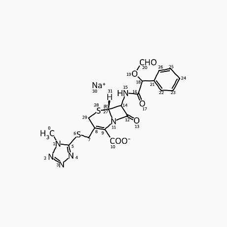 Cn1nnnc1SCC1=C(C(=O)[O-])N2C(=O)C(NC(=O)C(OC=O)c3ccccc3)[C@H]2SC1.[Na+]